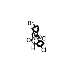 O=C1Nc2cc(Cl)cc(Cl)c2S(=O)(=O)N1Cc1cccc(Br)c1